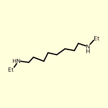 CCNCCCCCCCCNCC